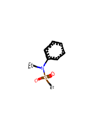 CCN(c1cc[c]cc1)S(=O)(=O)CC